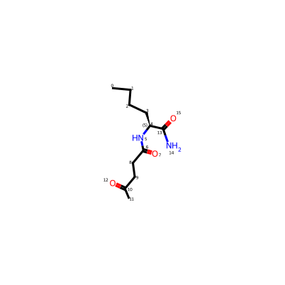 CCCC[C@H](NC(=O)CCC(C)=O)C(N)=O